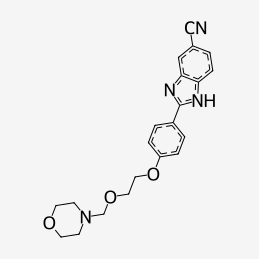 N#Cc1ccc2[nH]c(-c3ccc(OCCOCN4CCOCC4)cc3)nc2c1